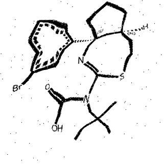 CC(C)(C)N(C(=O)O)C1=N[C@@]2(c3cccc(Br)c3)CCC[C@H]2CS1